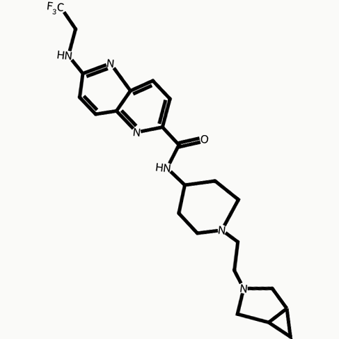 O=C(NC1CCN(CCN2CC3CC3C2)CC1)c1ccc2nc(NCC(F)(F)F)ccc2n1